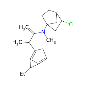 C=C(C(C)C1=C2C(=CC1)C2CC)N(C)C12CCC(C1)C(Cl)C2